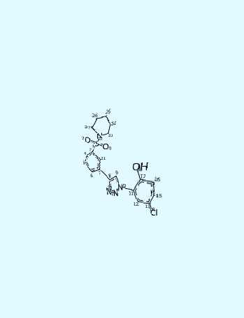 O=S(=O)(c1cccc(-c2cn(-c3cc(Cl)ccc3O)nn2)c1)N1CCCCC1